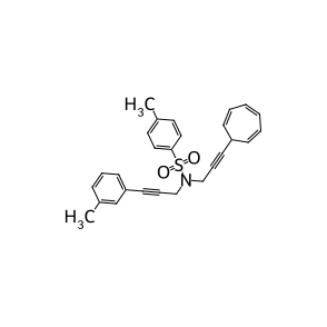 Cc1ccc(S(=O)(=O)N(CC#Cc2cccc(C)c2)CC#CC2C=CC=CC=C2)cc1